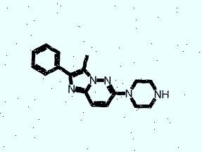 Cc1c(-c2ccccc2)nc2ccc(N3CCNCC3)nn12